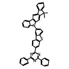 CC1(C)c2ccccc2-c2cc3c4ccccc4n(-c4ccc5sc6cc(-c7nc(-c8ccccc8)nc(-c8ccccc8)n7)ccc6c5c4)c3cc21